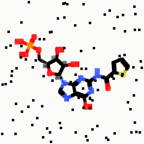 O=C(Nc1nc(O)c2ncn([C@@H]3O[C@H](COP(=O)(O)O)[C@@H](O)[C@H]3O)c2n1)c1cccs1